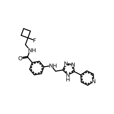 O=C(NCC1(F)CCC1)c1cccc(NCc2nnc(-c3ccncc3)[nH]2)c1